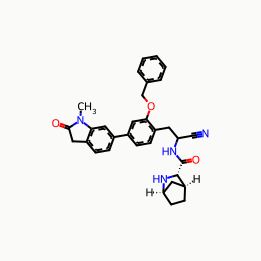 CN1C(=O)Cc2ccc(-c3ccc(CC(C#N)NC(=O)[C@H]4N[C@@H]5CC[C@H]4C5)c(OCc4ccccc4)c3)cc21